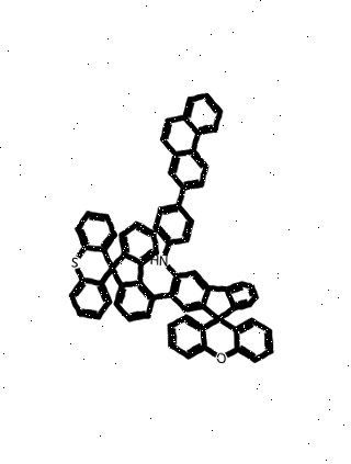 c1ccc2c(c1)Oc1ccccc1C21c2ccccc2-c2cc(Nc3ccc(-c4ccc5c(ccc6ccccc65)c4)cc3)c(-c3cccc4c3-c3ccccc3C43c4ccccc4Sc4ccccc43)cc21